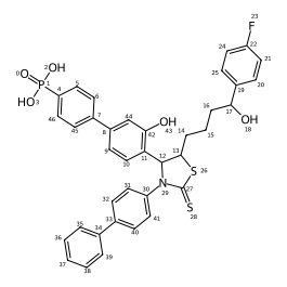 O=P(O)(O)c1ccc(-c2ccc(C3C(CCCC(O)c4ccc(F)cc4)SC(=S)N3c3ccc(-c4ccccc4)cc3)c(O)c2)cc1